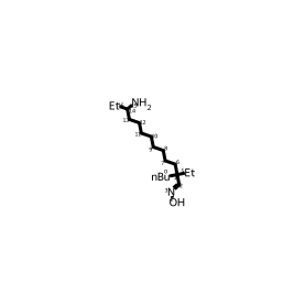 CCCCC(/C=N/O)(CC)CCCCCCCCC(N)CC